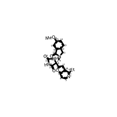 CCc1nccc2oc([C@]3(CN4Cc5ccc(OC)cc5C4=O)NC(=O)NC3=O)cc12